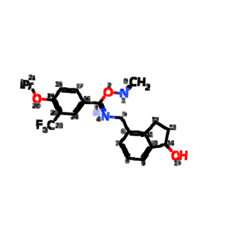 C=NO/C(=N\Cc1cccc2c1CCC2O)c1ccc(OC(C)C)c(C(F)(F)F)c1